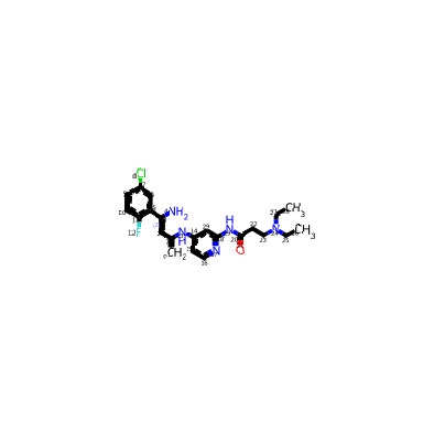 C=C(/C=C(\N)c1cc(Cl)ccc1F)Nc1ccnc(NC(=O)CCN(CC)CC)c1